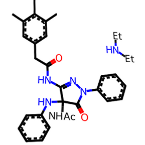 CC(=O)NC1(Nc2ccccc2)C(=O)N(c2ccccc2)N=C1NC(=O)Cc1cc(C)c(C)c(C)c1.CCNCC